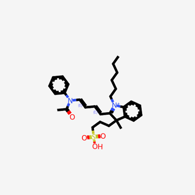 CCCCCC[N+]1=C(/C=C/C=C/N(C(C)=O)c2ccccc2)C(C)(CCCS(=O)(=O)O)c2ccccc21